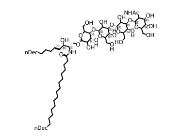 CCCCCCCCCCCCC/C=C/[C@@H](O)[C@H](CO[C@@H]1OC(CO)[C@@H](O[C@@H]2OC(CO)[C@H](O)[C@H](O[C@H]3OC(CO)[C@H](O)[C@H](O[C@@H]4OC(CO)[C@H](O)[C@H](O)C4NC(C)=O)C3O)C2O)[C@H](O)C1O)NC(=O)CCCCCCCCCCCCCCCCCCCCCCCCC